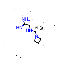 CC[C@H](C)C(NCC(=N)N)N1CCC1